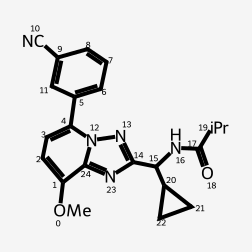 COc1ccc(-c2cccc(C#N)c2)n2nc(C(NC(=O)C(C)C)C3CC3)nc12